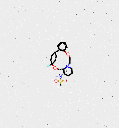 CS(=O)(=O)N[C@H]1CCCN2CCOc3ccccc3C3CCC(F)(CC3)OCC12